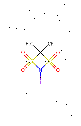 O=S1(=O)N(I)S(=O)(=O)C1(C(F)(F)F)C(F)(F)F